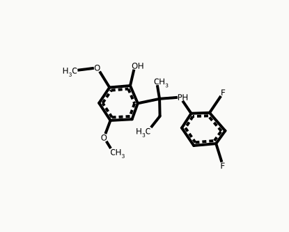 CCC(C)(Pc1ccc(F)cc1F)c1cc(OC)cc(OC)c1O